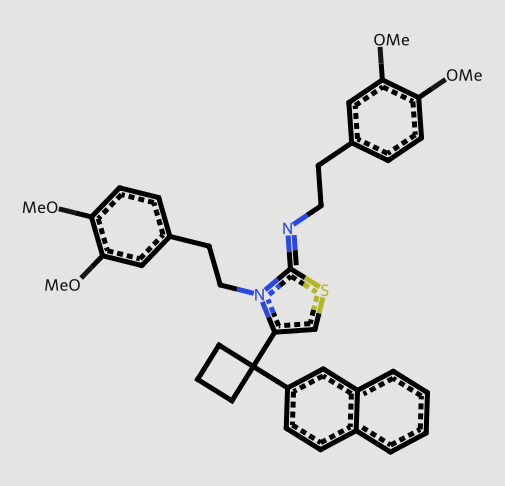 COc1ccc(CCN=c2scc(C3(c4ccc5ccccc5c4)CCC3)n2CCc2ccc(OC)c(OC)c2)cc1OC